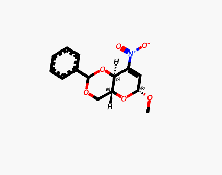 CO[C@H]1C=C([N+](=O)[O-])[C@@H]2OC(c3ccccc3)OC[C@H]2O1